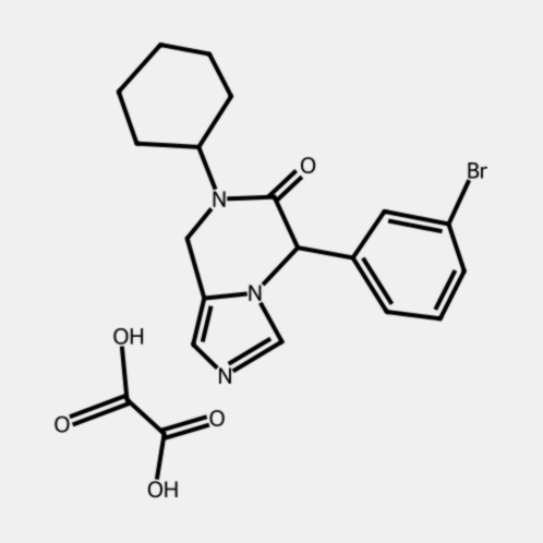 O=C(O)C(=O)O.O=C1C(c2cccc(Br)c2)n2cncc2CN1C1CCCCC1